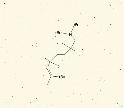 C/C(=N/C(C)(C)CCC(C)(C)CN(C(C)C)C(C)(C)C)C(C)(C)C